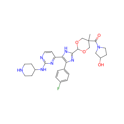 CC1(C(=O)N2CCC(O)C2)COC(c2nc(-c3ccc(F)cc3)c(-c3ccnc(NC4CCNCC4)n3)[nH]2)OC1